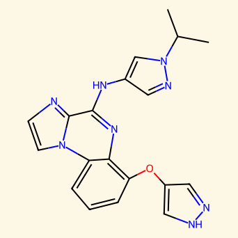 CC(C)n1cc(Nc2nc3c(Oc4cn[nH]c4)cccc3n3ccnc23)cn1